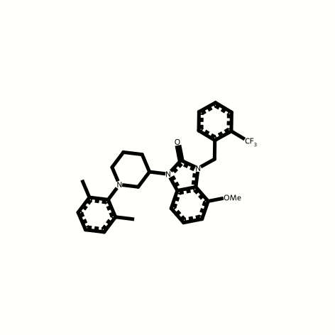 COc1cccc2c1n(Cc1ccccc1C(F)(F)F)c(=O)n2C1CCCN(c2c(C)cccc2C)C1